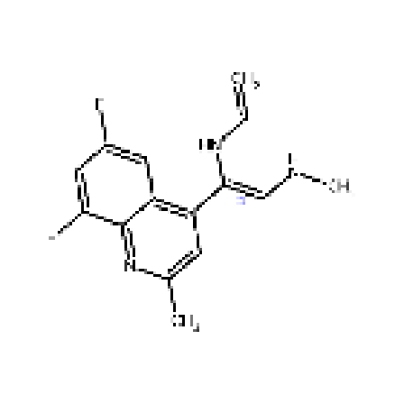 C=CN/C(=C\NC)c1cc(C)nc2c(F)cc(F)cc12